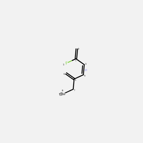 C=C(F)/C=C\C(=C)CC(C)(C)C